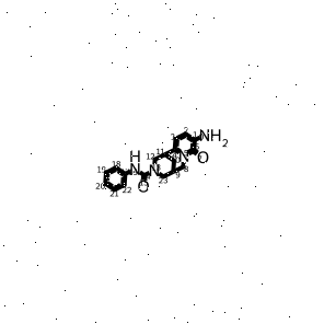 Nc1ccc2n(c1=O)CC1CC2CN(C(=O)Nc2ccccc2)C1